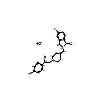 Cl.O=C1c2ccc(Br)cc2CN1CC1CCN(C[C@H](O)c2ccc(F)cc2)CC1